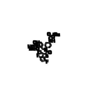 COc1ccccc1CN(C(=O)c1sc2c(F)ccc(F)c2c1Cl)C1CCC(NCC(=O)OC(C)(C)C)CC1.OBO